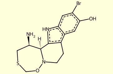 N[C@@H]1CSCON2CCc3c([nH]c4cc(Br)c(O)cc34)[C@H]12